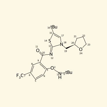 CC(C)(C)NOc1ccc(C(F)(F)F)cc1C(=O)N=c1sc(C(C)(C)C)cn1C[C@H]1CCCO1